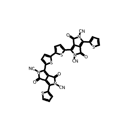 N#CN1C(=O)C2=C(c3ccc(-c4ccc(C5=C6C(=O)N(C#N)C(c7cccs7)=C6C(=O)N5C#N)s4)s3)N(C#N)C(=O)C2=C1c1cccs1